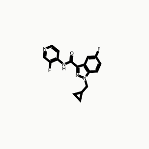 O=C(Nc1ccncc1F)c1nn(CC2CC2)c2ccc(F)cc12